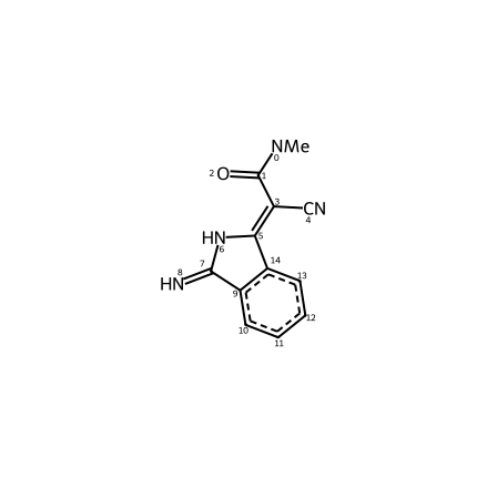 CNC(=O)/C(C#N)=C1\NC(=N)c2ccccc21